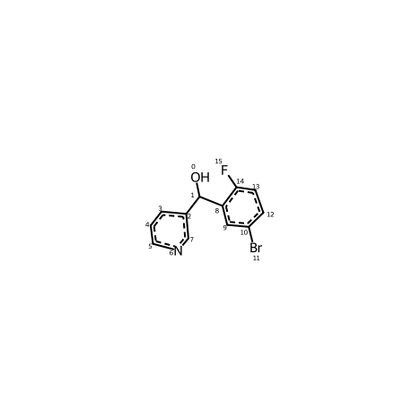 OC(c1cccnc1)c1cc(Br)ccc1F